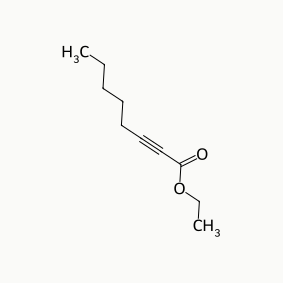 CCCCCC#CC(=O)OCC